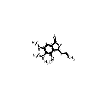 C=CCC1OC(=O)c2cc(OC)c(OC)c(OC)c21